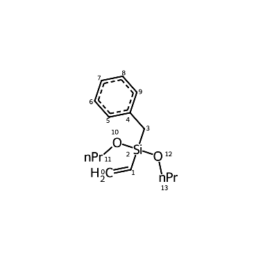 C=C[Si](Cc1ccccc1)(OCCC)OCCC